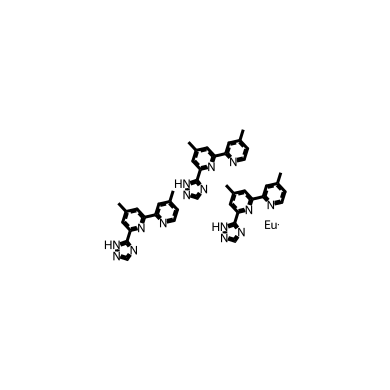 Cc1ccnc(-c2cc(C)cc(-c3ncn[nH]3)n2)c1.Cc1ccnc(-c2cc(C)cc(-c3ncn[nH]3)n2)c1.Cc1ccnc(-c2cc(C)cc(-c3ncn[nH]3)n2)c1.[Eu]